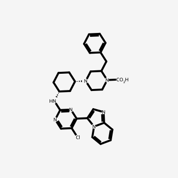 O=C(O)N1CCN([C@H]2CCC[C@@H](Nc3ncc(Cl)c(-c4cnc5ccccn45)n3)C2)CC1Cc1ccccc1